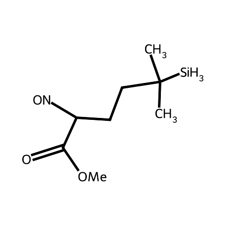 COC(=O)C(CCC(C)(C)[SiH3])N=O